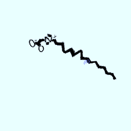 CCCCCC/C=C/CCCCCCCC[N+](C)(C)CC(=O)[O-]